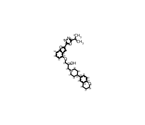 CC(C)c1nnc(-c2cc3c(OC[C@@H](O)CN4CCC(c5ccc6c(c5)CCCO6)CC4)cccc3o2)o1